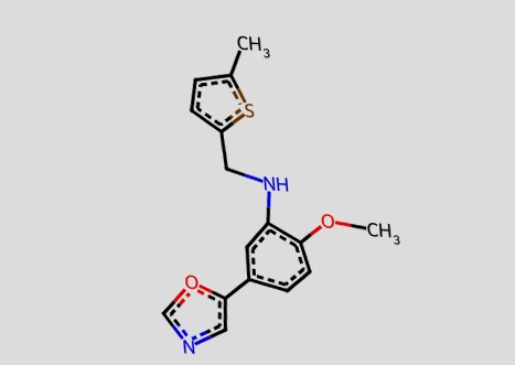 COc1ccc(-c2cnco2)cc1NCc1ccc(C)s1